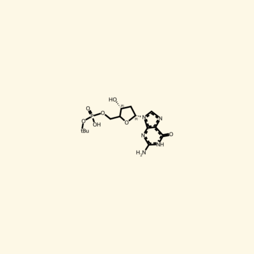 CC(C)(C)OP(=O)(O)OCC1O[C@@H](n2cnc3c(=O)[nH]c(N)nc32)C[C@H]1O